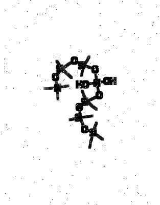 C[Si](C)(C)O[Si](C)(C)O[Si](C)(C)O[Si](O)(O)O[Si](C)(C)O[Si](C)(C)O[Si](C)(C)C